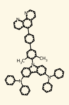 Cc1cc(-c2ccc(-c3cc4cccnc4c4ncccc34)cc2)cc(C)c1-n1c2ccc(N(c3ccccc3)c3ccccc3)cc2c2cc(N(c3ccccc3)c3ccccc3)ccc21